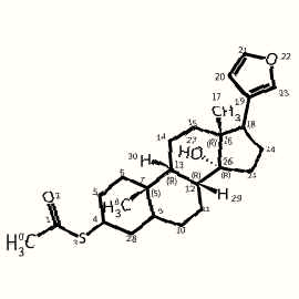 CC(=O)SC1CC[C@@]2(C)C(CC[C@@H]3[C@H]2CC[C@]2(C)C(c4ccoc4)CC[C@@]32O)C1